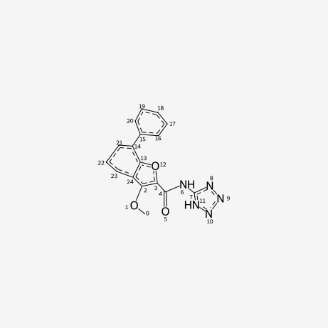 COc1c(C(=O)Nc2nnn[nH]2)oc2c(-c3ccccc3)cccc12